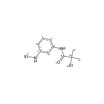 CCNc1cccc(NC(=O)C(C)(C)CC)c1